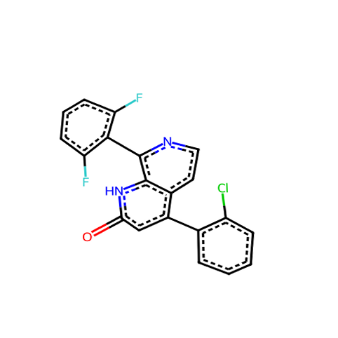 O=c1cc(-c2ccccc2Cl)c2ccnc(-c3c(F)cccc3F)c2[nH]1